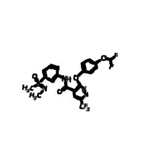 CN=S(C)(=O)c1cccc(NC(=O)c2cc(C(F)(F)F)nnc2Oc2ccc(OC(F)F)cc2)c1